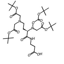 CC(C)(C)OC(=O)CN(CC[C@H](C(=O)NCCC(=O)O)N(CC(=O)OC(C)(C)C)OC(=O)OC(C)(C)C)CC(=O)OC(C)(C)C